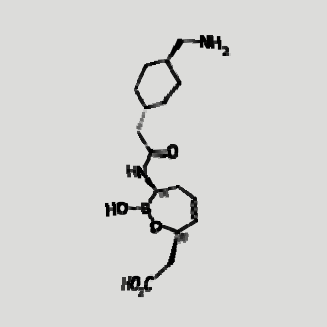 NC[C@H]1CC[C@H](CC(=O)N[C@H]2CC=C[C@@H](CC(=O)O)OB2O)CC1